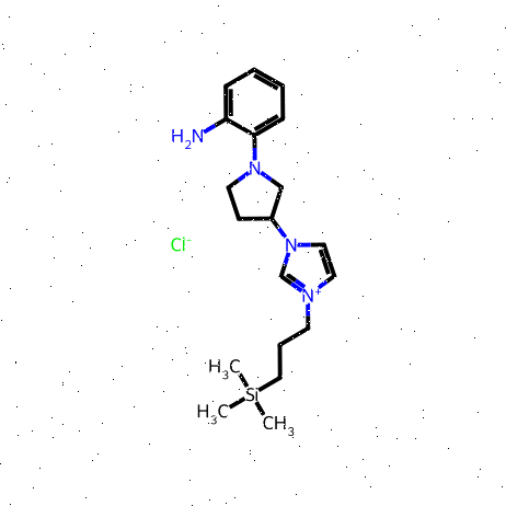 C[Si](C)(C)CCC[n+]1ccn(C2CCN(c3ccccc3N)C2)c1.[Cl-]